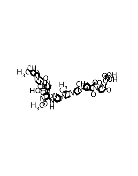 COc1ncc(-c2ccnc(N3CCn4c(cc5c4CC(C)(C)C5)C3=O)c2C(C)(C)O)cc1Nc1ccc(N2CCN(C3CCN(c4ccc5c(c4)C(=O)N(C4CCC(=O)N(COP(=O)(O)O)C4=O)C5=O)[C@@H](C)C3)C[C@@H]2C)cn1